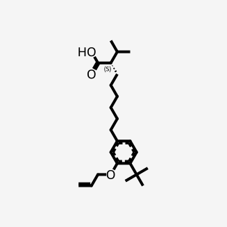 C=CCOc1cc(CCCCCC[C@H](C(=O)O)C(C)C)ccc1C(C)(C)C